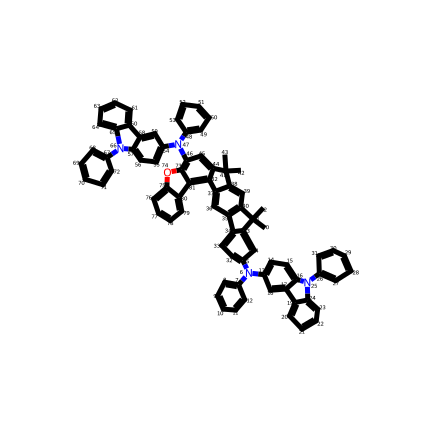 CC1(C)c2cc(N(c3ccccc3)c3ccc4c(c3)c3ccccc3n4-c3ccccc3)ccc2-c2cc3c(cc21)C(C)(C)c1cc(N(c2ccccc2)c2ccc4c(c2)c2ccccc2n4-c2ccccc2)c2oc4ccccc4c2c1-3